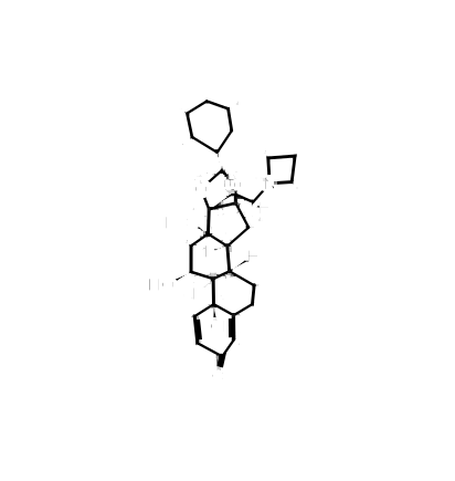 C[C@]12C=CC(=O)C=C1CC[C@@H]1[C@@H]2[C@@H](O)C[C@@]2(C)[C@H]1C[C@@H]1O[C@@H](C3CCCCC3)O[C@]12C(=O)CN1CCC1